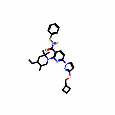 CCC1CC(C)(C)N(c2nc(-n3ccc(OCC4CCC4)n3)ccc2C(=O)NSc2ccccc2)CC1C